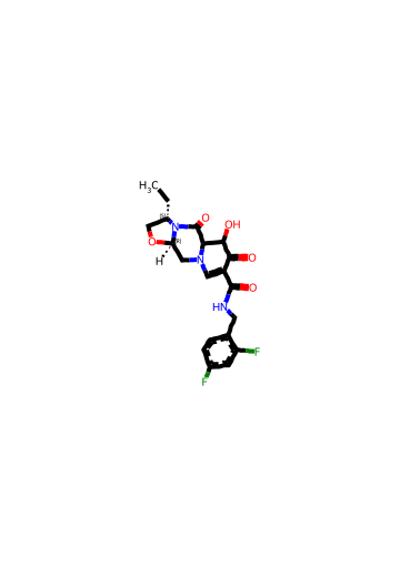 CC[C@H]1CO[C@@H]2CN3C=C(C(=O)NCc4ccc(F)cc4F)C(=O)C(O)C3C(=O)N12